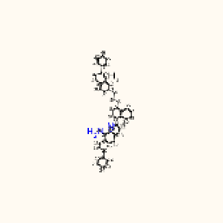 Cc1cc(CCCc2ccc(-c3ccc4ccc(/C=C\Cc5ccccc5)c(N)c4n3)c3ccccc23)ccc1/C=C\Cc1ccccc1